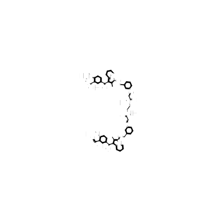 Cc1c(C(=O)c2ccc(N)c(C(=O)O)c2)c2ccccn2c1OCc1cccc(OCC(=O)NCCNC(=O)COc2cccc(COc3c(C)c(C(=O)c4ccc(N)c(C(=O)O)c4)c4ccccn34)c2)c1